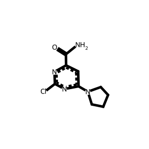 NC(=O)c1cc(N2CCCC2)nc(Cl)n1